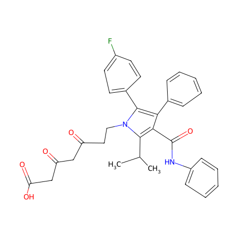 CC(C)c1c(C(=O)Nc2ccccc2)c(-c2ccccc2)c(-c2ccc(F)cc2)n1CCC(=O)CC(=O)CC(=O)O